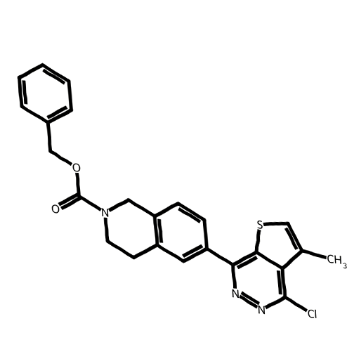 Cc1csc2c(-c3ccc4c(c3)CCN(C(=O)OCc3ccccc3)C4)nnc(Cl)c12